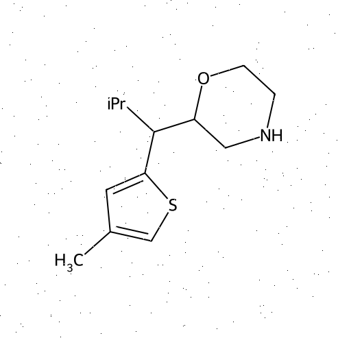 Cc1csc(C(C(C)C)C2CNCCO2)c1